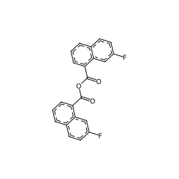 O=C(OC(=O)c1cccc2ccc(F)cc12)c1cccc2ccc(F)cc12